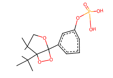 CC(C)(C)C12OOC1(c1cccc(OP(=O)(O)O)c1)OCC2(C)C